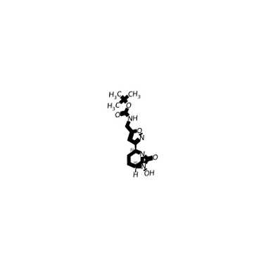 CC(C)(C)OC(=O)NCc1cc([C@@H]2CC[C@H]3CN2C(=O)N3O)no1